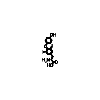 N[C@H](Cc1cc(I)c(Oc2ccc(O)cc2)c(I)c1)C(=O)O